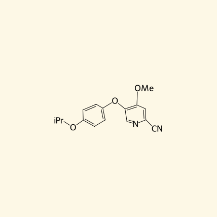 COc1cc(C#N)ncc1Oc1ccc(OC(C)C)cc1